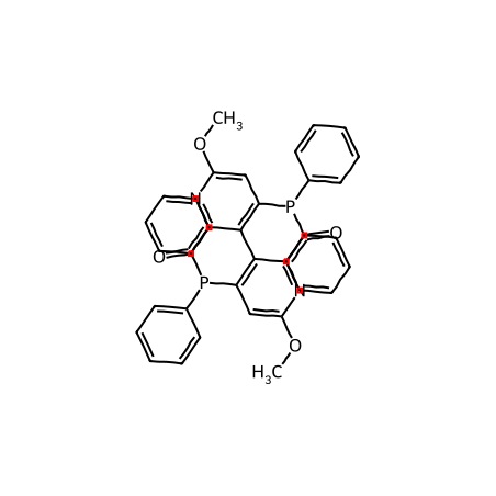 COc1cc(P(c2ccccc2)c2ccccc2)c(-c2c(P(c3ccccc3)c3ccccc3)cc(OC)nc2C=O)c(C=O)n1